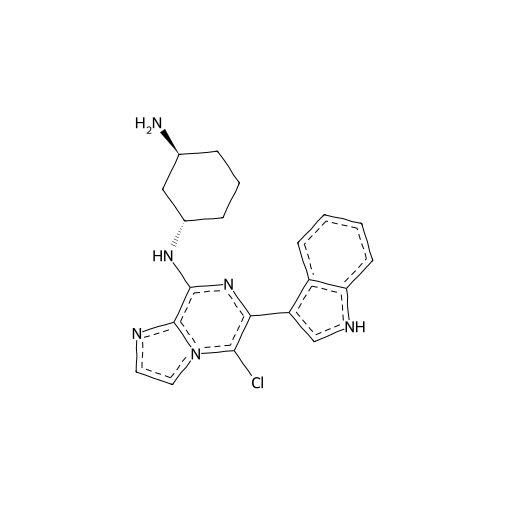 N[C@H]1CCC[C@H](Nc2nc(-c3c[nH]c4ccccc34)c(Cl)n3ccnc23)C1